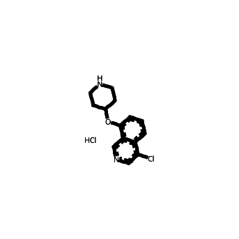 Cl.Clc1cncc2c(OC3CCNCC3)cccc12